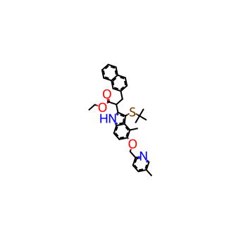 CCOC(=O)C(Cc1ccc2ccccc2c1)c1[nH]c2ccc(OCc3ccc(C)cn3)c(C)c2c1SC(C)(C)C